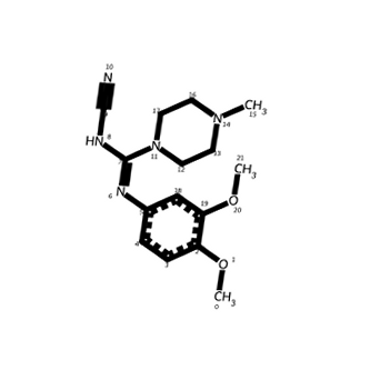 COc1ccc(N=C(NC#N)N2CCN(C)CC2)cc1OC